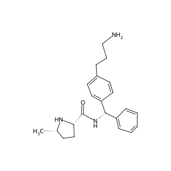 C[C@H]1CC[C@@H](C(=O)N[C@@H](c2ccccc2)c2ccc(CCCN)cc2)N1